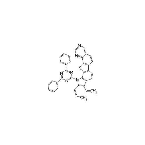 C=Cc1c(/C=C\C)n(-c2nc(-c3ccccc3)nc(-c3ccccc3)n2)c2c1ccc1c3ccc4cncnc4c3sc12